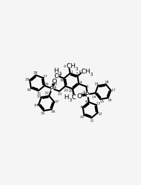 Cc1c(C)c(CP(=O)(c2ccccc2)c2ccccc2)c(C)c(CP(=O)(c2ccccc2)c2ccccc2)c1C